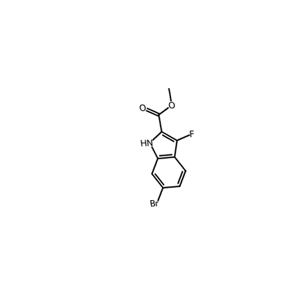 COC(=O)c1[nH]c2cc(Br)ccc2c1F